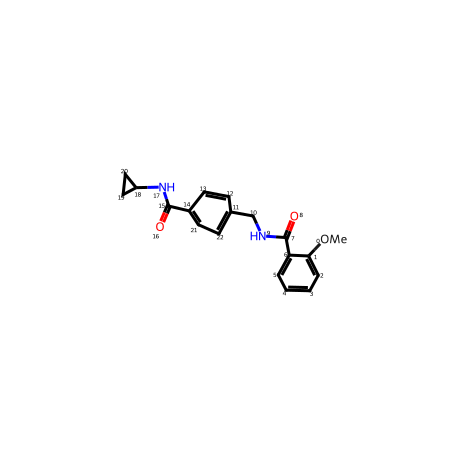 COc1ccccc1C(=O)NCc1ccc(C(=O)NC2CC2)cc1